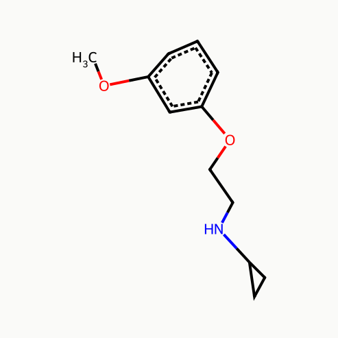 COc1cccc(OCCNC2CC2)c1